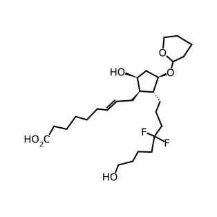 O=C(O)CCCCCC=CC[C@@H]1[C@@H](CCCC(F)(F)CCCCO)[C@H](OC2CCCCO2)C[C@@H]1O